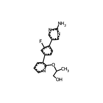 CC(CO)Oc1ncccc1-c1ccc(-c2cnc(N)nc2)c(F)c1